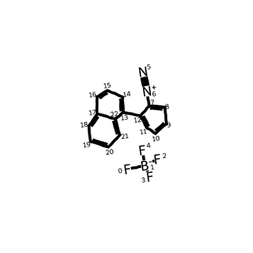 F[B-](F)(F)F.N#[N+]c1ccccc1-c1cccc2ccccc12